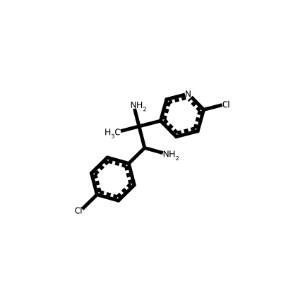 CC(N)(c1ccc(Cl)nc1)C(N)c1ccc(Cl)cc1